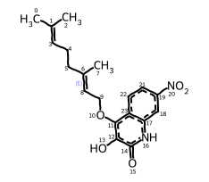 CC(C)=CCC/C(C)=C/COc1c(O)c(=O)[nH]c2cc([N+](=O)[O-])ccc12